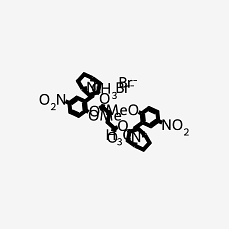 COc1ccc([N+](=O)[O-])cc1C[N+]1(C)C2CCC1CC(OC(=O)CCC(=O)OC1CC3CCC(C1)[N+]3(C)Cc1cc([N+](=O)[O-])ccc1OC)C2.[Br-].[Br-]